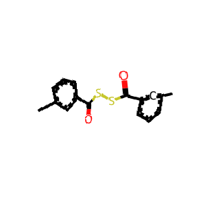 Cc1cccc(C(=O)SSC(=O)c2cccc(C)c2)c1